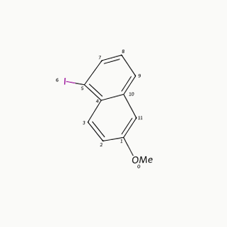 COc1ccc2c(I)cccc2c1